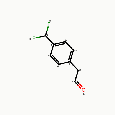 O=CCc1ccc(C(F)F)cc1